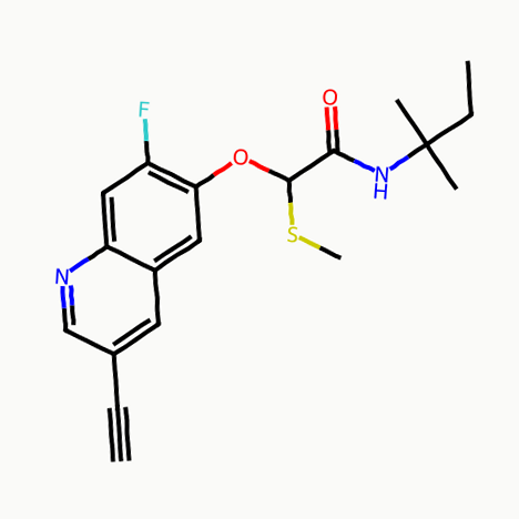 C#Cc1cnc2cc(F)c(OC(SC)C(=O)NC(C)(C)CC)cc2c1